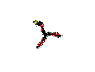 C[S+](C)c1ccc(OCCOc2ccc(-c3cc(-c4ccc(OCCOC(=O)OC(C)(C)C)cc4)cc(-c4ccc(OCCOC(=O)OC(C)(C)C)cc4)c3)cc2)cc1